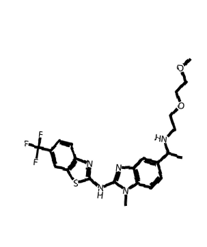 COCCOCCNC(C)c1ccc2c(c1)nc(Nc1nc3ccc(C(F)(F)F)cc3s1)n2C